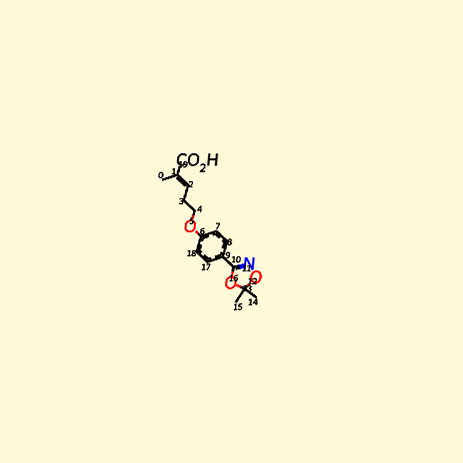 C/C(=C\CCOc1ccc(C2=NOC(C)(C)O2)cc1)C(=O)O